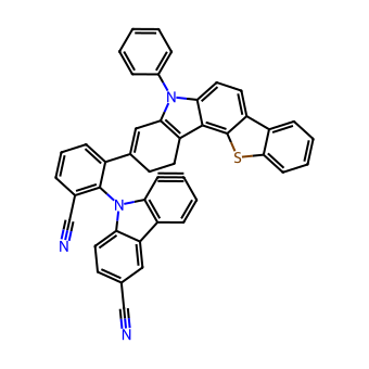 N#Cc1ccc2c(c1)c1ccc#cc1n2-c1c(C#N)cccc1C1=Cc2c(c3c4sc5ccccc5c4ccc3n2-c2ccccc2)CC1